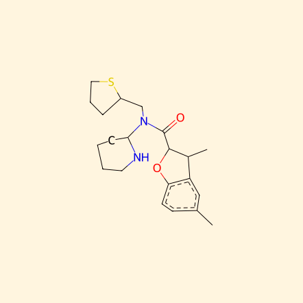 Cc1ccc2c(c1)C(C)C(C(=O)N(CC1CCCS1)C1CCCCN1)O2